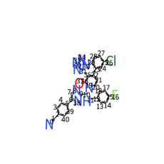 N#Cc1ccc(-c2cnc([C@@H](Cc3ccc(F)cc3)n3ccc(-c4cc(Cl)ccc4-n4cnnn4)cc3=O)[nH]2)cc1